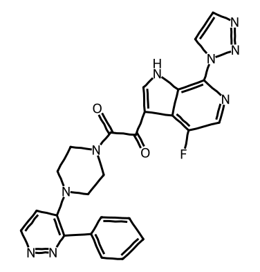 O=C(C(=O)N1CCN(c2ccnnc2-c2ccccc2)CC1)c1c[nH]c2c(-n3ccnn3)ncc(F)c12